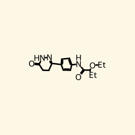 CCOC(CC)C(=O)Nc1ccc(C2=NNC(=O)CC2)cc1